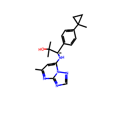 Cc1cc(N[C@H](c2ccc(C3(C)CC3)cc2)C(C)(C)O)n2ncnc2n1